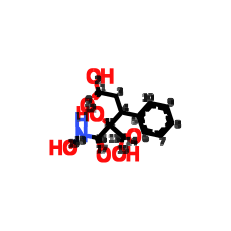 O=C(O)CC(c1ccccc1)C(O)(C(=O)O)C(=O)NO